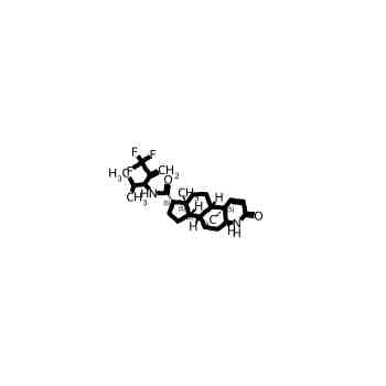 C=C(C(NC(=O)[C@H]1CC[C@H]2[C@@H]3CC[C@H]4NC(=O)C=C[C@]4(C)[C@H]3CC[C@]12C)C(C)C)C(F)(F)F